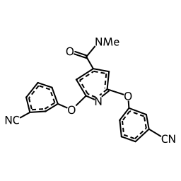 CNC(=O)c1cc(Oc2cccc(C#N)c2)nc(Oc2cccc(C#N)c2)c1